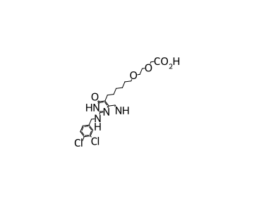 N=Cc1nc(NCc2ccc(Cl)c(Cl)c2)[nH]c(=O)c1CCCCCCOCCOCC(=O)O